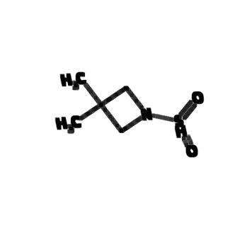 CC1(C)CN([SH](=O)=O)C1